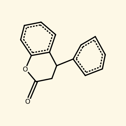 O=C1CC(c2ccccc2)c2ccccc2O1